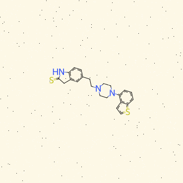 S=C1Cc2cc(CCN3CCN(c4cccc5sccc45)CC3)ccc2N1